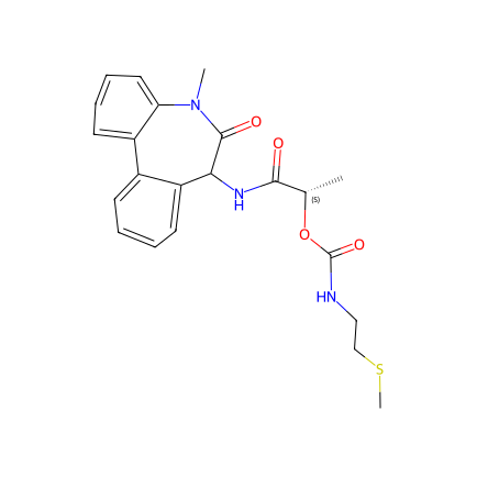 CSCCNC(=O)O[C@@H](C)C(=O)NC1C(=O)N(C)c2ccccc2-c2ccccc21